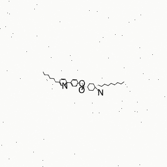 CCCCCCCCC[C@]1(C#N)CC[C@H](C(=O)Oc2ccc(-c3ccc(CCCCCC)cn3)cc2)CC1